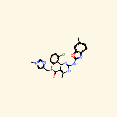 CC1=C(C(=O)NCc2cn(C)cn2)C(c2ccccc2Cl)N=C(Nc2nc3ccc(C)cc3o2)N1